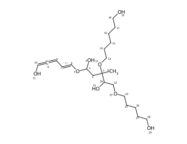 CC(CC(O)O/C=C/C=C=CO)(OCCCCCCO)C(O)COCCCCCO